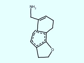 NCC1=CCCc2c1ccc1c2OCC1